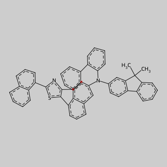 CC1(C)c2ccccc2-c2ccc(N(c3cc4c5c(cccc5c3)-c3sc(-c5cccc6ccccc56)nc3-4)c3ccccc3-c3ccccc3)cc21